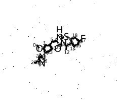 COc1cc(C=C2NC(=S)N(C(C)c3ccc(F)cc3)C2=O)ccc1-n1cnc(C)c1